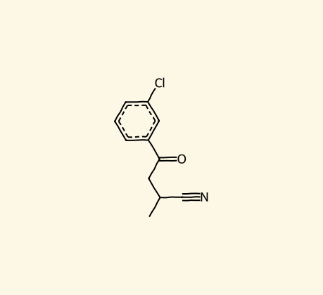 CC(C#N)CC(=O)c1cccc(Cl)c1